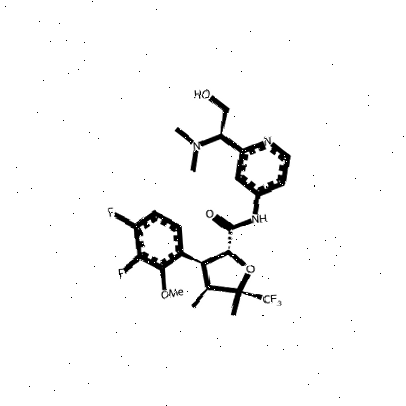 COc1c([C@H]2[C@H](C(=O)Nc3ccnc([C@H](CO)N(C)C)c3)O[C@@](C)(C(F)(F)F)[C@H]2C)ccc(F)c1F